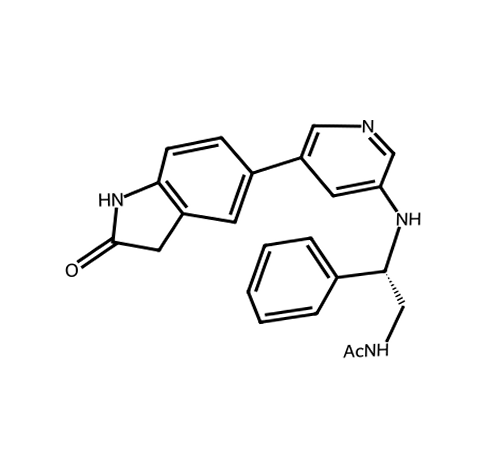 CC(=O)NC[C@@H](Nc1cncc(-c2ccc3c(c2)CC(=O)N3)c1)c1ccccc1